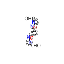 O=Cc1cccc(-c2ncc(-c3cccc(-c4cnc(-c5cccc(C=O)n5)o4)c3)o2)n1